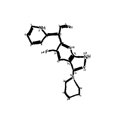 N=C/C(=C1/C=CC=CN1)c1nc2[nH]nc(N3CCCCC3)c2cc1F